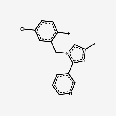 Cc1cn(Cc2cc(Cl)ccc2F)c(-c2cccnc2)n1